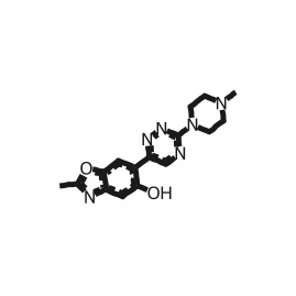 Cc1nc2cc(O)c(-c3cnc(N4CCN(C)CC4)nn3)cc2o1